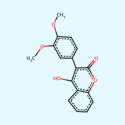 COc1ccc(-c2c(O)c3ccccc3oc2=O)cc1OC